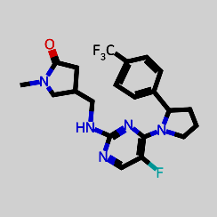 CN1CC(CNc2ncc(F)c(N3CCCC3c3ccc(C(F)(F)F)cc3)n2)CC1=O